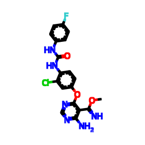 COC(=N)c1c(N)ncnc1Oc1ccc(NC(=O)Nc2ccc(F)cc2)c(Cl)c1